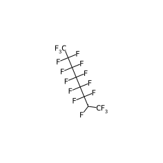 F[C](C(F)(F)F)C(F)(F)C(F)(F)C(F)(F)C(F)(F)C(F)(F)C(F)(F)F